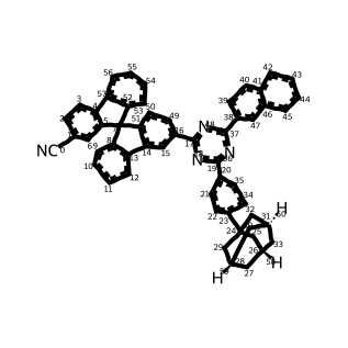 N#Cc1ccc2c(c1)C1(c3ccccc3-c3cc(-c4nc(-c5ccc(C67C[C@H]8C[C@H](C6)C[C@@H](C7)C8)cc5)nc(-c5ccc6ccccc6c5)n4)ccc31)c1ccccc1-2